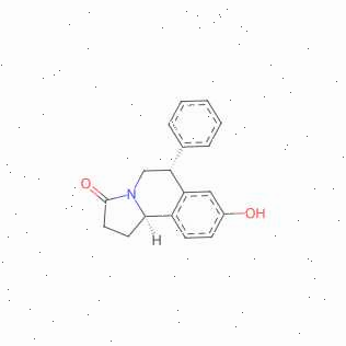 O=C1CC[C@@H]2c3ccc(O)cc3[C@@H](c3ccccc3)CN12